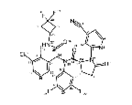 N#Cc1ccnc(N2C(=O)CC[C@H]2C(=O)N(c2cc(F)cc(F)c2)C(C(=O)NC2CC(F)(F)C2)c2cccc(Cl)c2I)c1